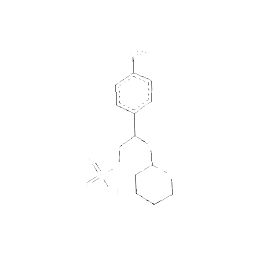 COc1ccc(C(COS(C)(=O)=O)OC2CCCCO2)cc1